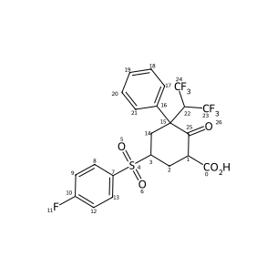 O=C(O)C1CC(S(=O)(=O)c2ccc(F)cc2)CC(c2ccccc2)(C(C(F)(F)F)C(F)(F)F)C1=O